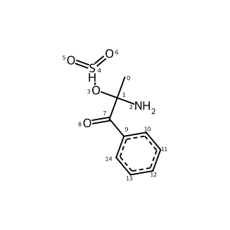 CC(N)(O[SH](=O)=O)C(=O)c1ccccc1